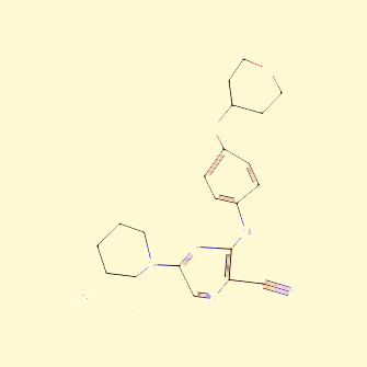 C[C@@H]1[C@H](N)CCCN1c1cnc(C#N)c(Nc2ccc(OC3CCOCC3)cc2)n1